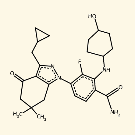 CC1(C)CC(=O)c2c(CC3CC3)nn(-c3ccc(C(N)=O)c(NC4CCC(O)CC4)c3F)c2C1